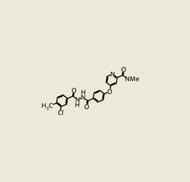 CNC(=O)c1cc(Oc2ccc(C(=O)NNC(=O)c3ccc(C)c(Cl)c3)cc2)ccn1